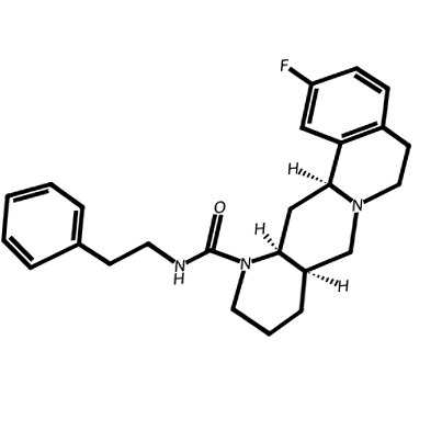 O=C(NCCc1ccccc1)N1CCC[C@@H]2CN3CCc4ccc(F)cc4[C@@H]3C[C@@H]21